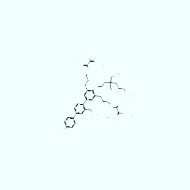 C=C(C)C(=O)OCCCc1cc(-c2ccc(-c3ccc(C)cc3)cc2CC)cc(CCCOC(=O)C(=C)C)c1OCCC(CO)(CO)CCCC